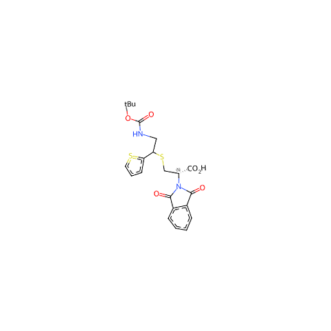 CC(C)(C)OC(=O)NCC(SC[C@H](C(=O)O)N1C(=O)c2ccccc2C1=O)c1cccs1